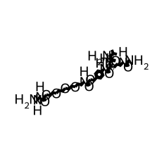 CC(C)[C@H](N)C(=O)N[C@@H](CCCNC(N)=O)C(=O)Nc1ccc(COC(=O)NCCOCCOCCOCCOC(=O)NNN)cc1